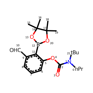 CCCN(C(=O)Oc1cccc(C=O)c1B1OC(C)(C)C(C)(C)O1)C(C)(C)C